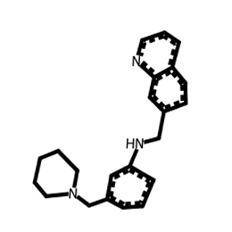 c1cc(CN2CCCCC2)cc(NCc2ccc3cccnc3c2)c1